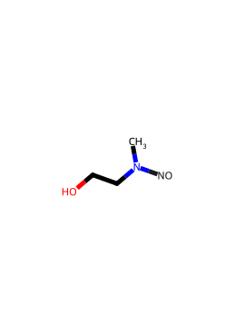 CN(CCO)N=O